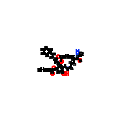 CCCCCCC(=O)O[C@H](/C=C/[C@@H]1[C@@H](C/C=C\CCCC(=O)NCC)[C@@H](O)C[C@H]1OC(=O)CCCCCC)CCc1ccccc1